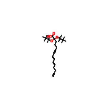 C#CCCC=CC=CC#CCCCC(O[Si](C)(C)C(C)(C)C)(O[Si](C)(C)C(C)(C)C)C(=O)O